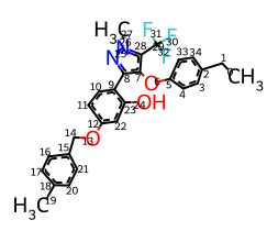 CCc1ccc(Oc2c(-c3ccc(OCc4ccc(C)cc4)cc3O)nn(C)c2C(F)(F)F)cc1